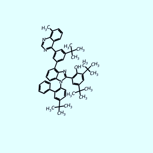 Cc1cccc2c(-c3cc(-c4cccc5c4nc(-c4cc(C(C)(C)C)cc(C(C)(C)C)c4O)n5-c4ccc(C(C)(C)C)cc4-c4ccccc4)cc(C(C)(C)C)c3)ncnc12